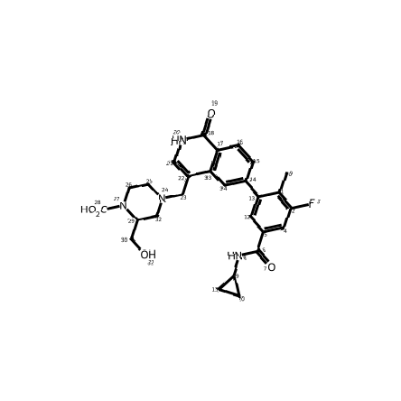 Cc1c(F)cc(C(=O)NC2CC2)cc1-c1ccc2c(=O)[nH]cc(CN3CCN(C(=O)O)C(CO)C3)c2c1